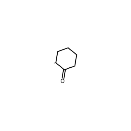 O=C1[C]CCCC1